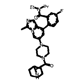 CCN(C(=O)c1cc(F)ccc1-c1cc(N2CCN(C(=O)C3NC4CCC3CC4)CC2)cn2c(C)ncc12)C(C)C